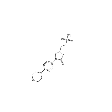 NS(=O)(=O)CCC1CN(c2ccc(N3CCOCC3)nc2)C(=O)O1